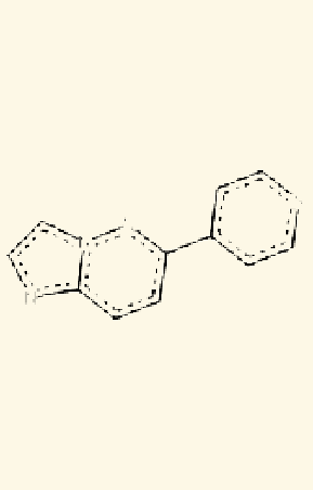 c1cc(-c2ccc3nccn3n2)ccn1